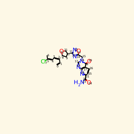 C=C/C(=C\C=C(/C)Cl)[C@H]1C[C@H](c2noc(Cn3cnc4nc(C(N)=O)ccc4c3=O)n2)CO1